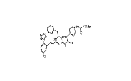 COC(=O)Nc1ccc(-c2cc(C(Cc3ccccc3)NC(=O)/C=C/c3cc(Cl)ccc3-n3cnnn3)nn(C)c2=O)cc1